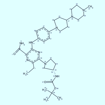 CCc1nc(C(N)=O)c(Nc2ccc(N3CCC(N4CCN(C)CC4)CC3)cc2)nc1N1CC[C@H](NC(=O)OC(C)(C)C)C1